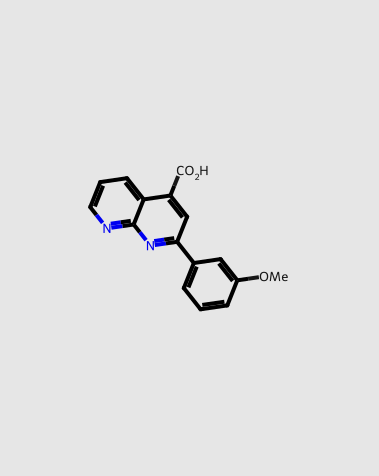 COc1cccc(-c2cc(C(=O)O)c3cccnc3n2)c1